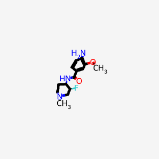 COc1cc(C(=O)N[C@@H]2CCN(C)C[C@@H]2F)ccc1N